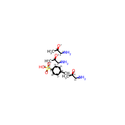 CC(=O)CN.CC(=O)CN.CC(=O)CN.Cc1ccc(S(=O)(=O)O)cc1